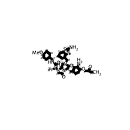 C=CC(=O)COc1ccc(C[C@H]2C(=O)N(Cc3cccc4sc(N)nc34)C[C@H]3N2C(=O)CN3N(C(=O)NCc2ccc(OC)cc2)C(C)C)cc1N